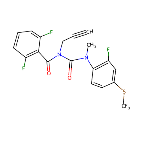 C#CCN(C(=O)c1c(F)cccc1F)C(=O)N(C)c1ccc(SC(F)(F)F)cc1F